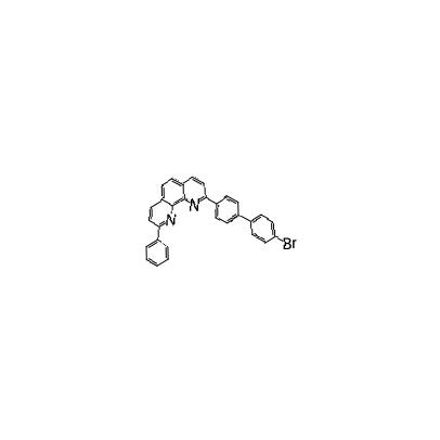 Brc1ccc(-c2ccc(-c3ccc4ccc5ccc(-c6ccccc6)nc5c4n3)cc2)cc1